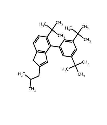 CC(C)CC1=Cc2c(ccc(C(C)(C)C)c2-c2cc(C(C)(C)C)cc(C(C)(C)C)c2)[CH]1